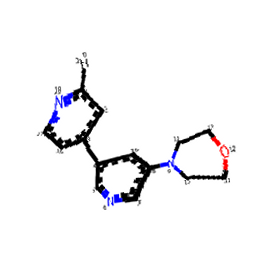 [2H]c1cc(-c2cncc(N3CCOCC3)c2)ccn1